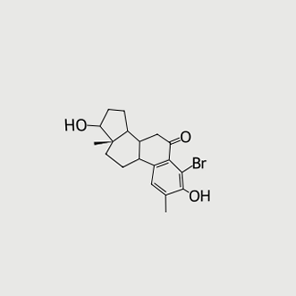 Cc1cc2c(c(Br)c1O)C(=O)CC1C2CC[C@]2(C)C(O)CCC12